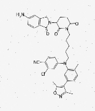 Cc1ccc(-c2c(C)noc2C)cc1N(CCCCCN1C(=O)CCC(N2Cc3cc(N)ccc3C2=O)C1=O)c1ccc(C#N)c(Cl)c1